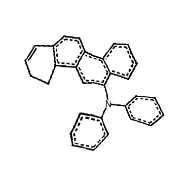 C1=Cc2ccc3c(cc(N(c4ccccc4)c4ccccc4)c4ccccc43)c2CC1